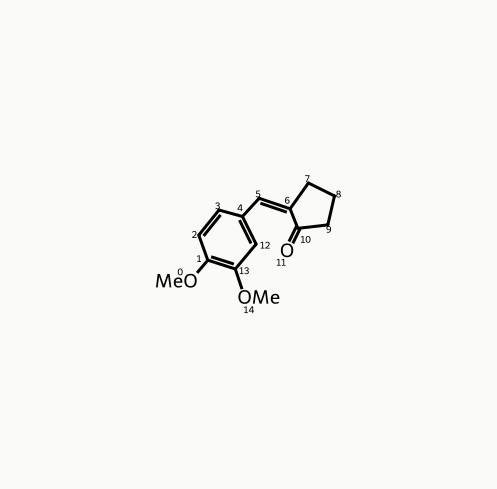 COc1ccc(C=C2CCCC2=O)cc1OC